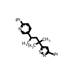 CC(C)c1ccc(C(C)CC(C)(C)c2cc(C(C)C)ns2)cn1